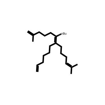 C=CCCCCC(CCCC=C(C)C)=C(CCCC)CCCC(=C)C